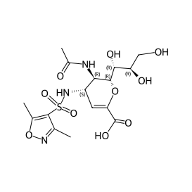 CC(=O)N[C@H]1[C@H]([C@H](O)[C@H](O)CO)OC(C(=O)O)=C[C@@H]1NS(=O)(=O)c1c(C)noc1C